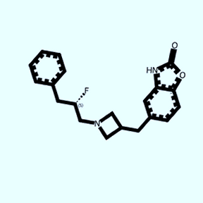 O=c1[nH]c2cc(CC3CN(C[C@@H](F)Cc4ccccc4)C3)ccc2o1